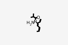 C=C/C(=C\C=C/C)N(N)C(=O)C(C)C